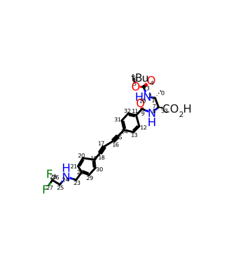 C[C@@H](NC(=O)OC(C)(C)C)[C@H](NC(=O)c1ccc(C#CC#Cc2ccc(CNCC(F)F)cc2)cc1)C(=O)O